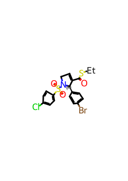 CCSC(=O)C1=CCN(S(=O)(=O)c2ccc(Cl)cc2)[C@@H]1c1ccc(Br)cc1